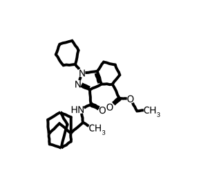 CCOC(=O)C1CCCc2c1c(C(=O)NC(C)C13CC4CC(CC(C4)C1)C3)nn2C1CCCCC1